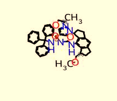 COC[C@@H]1CCc2cc3c(c(NC(=O)N=S(=O)(NC(c4ccccc4)(c4ccccc4)c4ccccc4)c4cnn5c4OC[C@H]5C)c21)CCC3